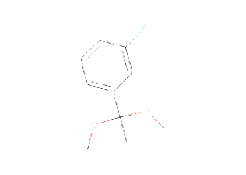 COC(C)(OC)c1cc[c]c(F)c1